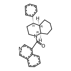 O=C(c1cncc2ccccc12)N1CC[C@H](c2ccccc2)[C@H]2CCCC[C@H]21